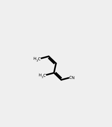 C/C=C\C(C)=C/C#N